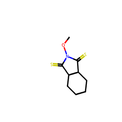 CON1C(=S)C2CCCCC2C1=S